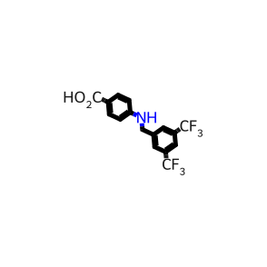 O=C(O)c1ccc(NCc2cc(C(F)(F)F)cc(C(F)(F)F)c2)cc1